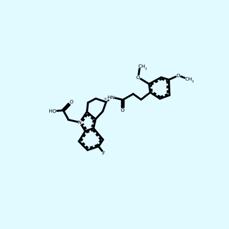 COc1ccc(CCC(=O)N[C@H]2CCc3c(c4cc(F)ccc4n3CC(=O)O)C2)c(OC)c1